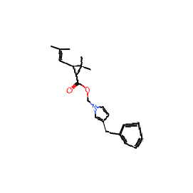 CC(C)=CC1C(C(=O)OCn2ccc(Cc3ccccc3)c2)C1(C)C